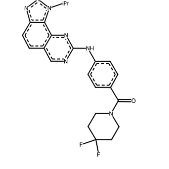 CC(C)n1nnc2ccc3cnc(Nc4ccc(C(=O)N5CCC(F)(F)CC5)cc4)nc3c21